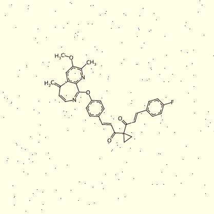 C=C1C=CN=C(Oc2ccc(/C=C/C(=O)C3(C(=O)/C=C/c4ccc(F)cc4)CC3)cc2)c2nc(C)c(OC)cc21